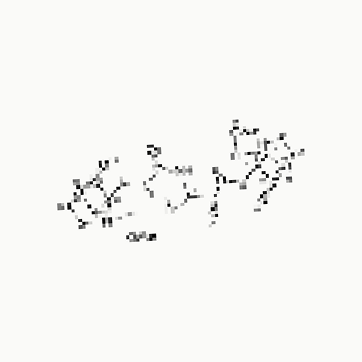 COCC1(COC(=O)NC(C(=O)OCC2(COC)C(=O)C3CCN2CC3)C(C)C)C(=O)C2CCN1CC2